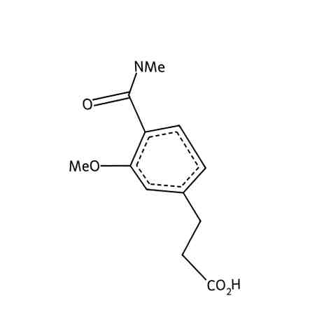 CNC(=O)c1ccc(CCC(=O)O)cc1OC